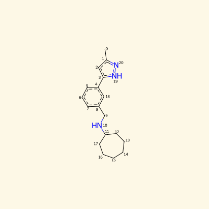 Cc1cc(-c2cccc(CNC3CCCCCC3)c2)[nH]n1